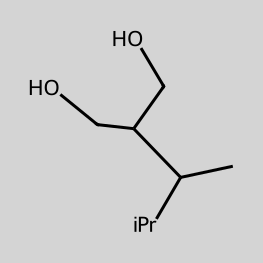 CC(C)C(C)C(CO)CO